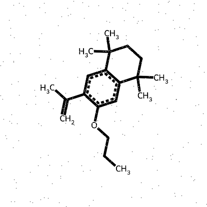 C=C(C)c1cc2c(cc1OCCC)C(C)(C)CCC2(C)C